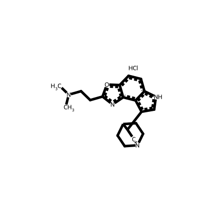 CN(C)CCc1nc2c(ccc3[nH]cc(C4CN5CCC4CC5)c32)o1.Cl